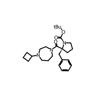 CC(C)(C)OC(=O)N1CCC[C@]1(Cc1ccccc1)C(=O)N1CCCN(C2CCC2)CC1